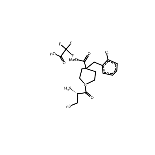 COC(=O)C1(Cc2ccccc2Cl)CCN(C(=O)[C@@H](N)CS)CC1.O=C(O)C(F)(F)F